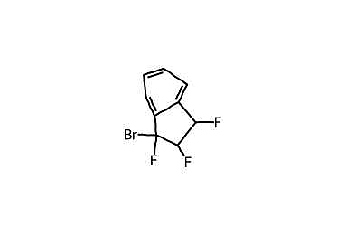 FC1c2ccccc2C(F)(Br)C1F